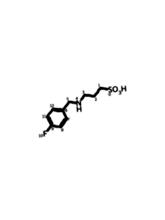 O=S(=O)(O)CCCNCc1ccc(F)cc1